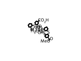 COC(=O)c1ccc2c(c1)Sc1cccc(B3OC(C)(C)C(C)(S(=O)(=O)c4cc(C(=O)O)ccc4Sc4ccccc4Br)O3)c1S2